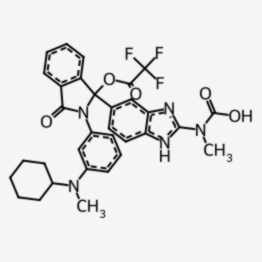 CN(C(=O)O)c1nc2cc(C3(OC(=O)C(F)(F)F)c4ccccc4C(=O)N3c3cccc(N(C)C4CCCCC4)c3)ccc2[nH]1